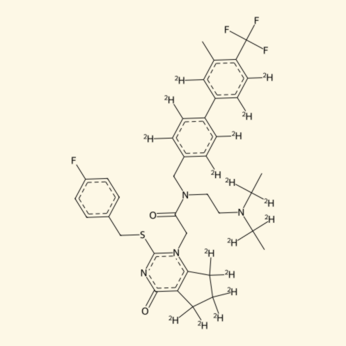 [2H]c1c([2H])c(-c2c([2H])c([2H])c(C(F)(F)F)c(C)c2[2H])c([2H])c([2H])c1CN(CCN(C([2H])([2H])C)C([2H])([2H])C)C(=O)Cn1c(SCc2ccc(F)cc2)nc(=O)c2c1C([2H])([2H])C([2H])([2H])C2([2H])[2H]